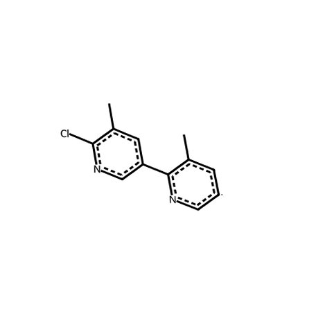 Cc1cc(-c2nc[c]cc2C)cnc1Cl